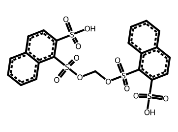 O=S(=O)(O)c1ccc2ccccc2c1S(=O)(=O)OCOS(=O)(=O)c1c(S(=O)(=O)O)ccc2ccccc12